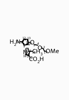 COCCOCCOc1ccc(N)cc1.Cc1oncc1C(=O)O